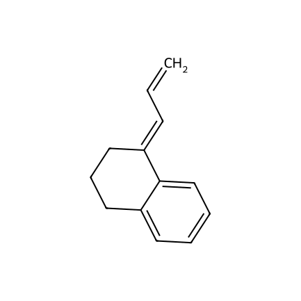 C=CC=C1CCCc2ccccc21